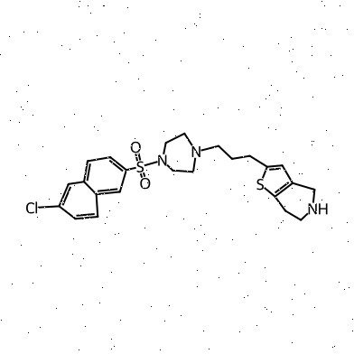 O=S(=O)(c1ccc2cc(Cl)ccc2c1)N1CCN(CCCc2cc3c(s2)CCNC3)CC1